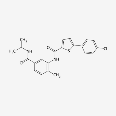 Cc1ccc(C(=O)NC(C)C)cc1NC(=O)c1ccc(-c2ccc(Cl)cc2)s1